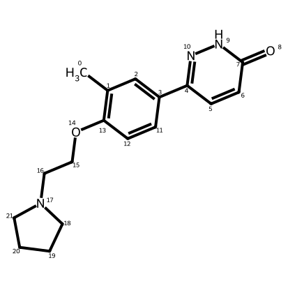 Cc1cc(-c2ccc(=O)[nH]n2)ccc1OCCN1CCCC1